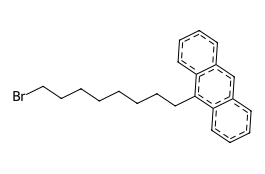 BrCCCCCCCCc1c2ccccc2cc2ccccc12